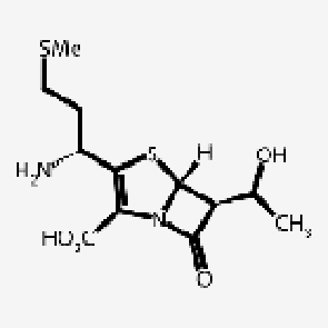 CSCC[C@@H](N)C1=C(C(=O)O)N2C(=O)[C@H](C(C)O)[C@H]2S1